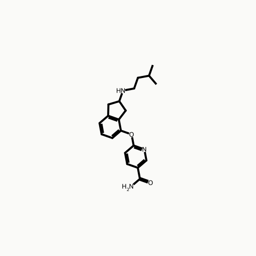 CC(C)CCNC1Cc2cccc(Oc3ccc(C(N)=O)cn3)c2C1